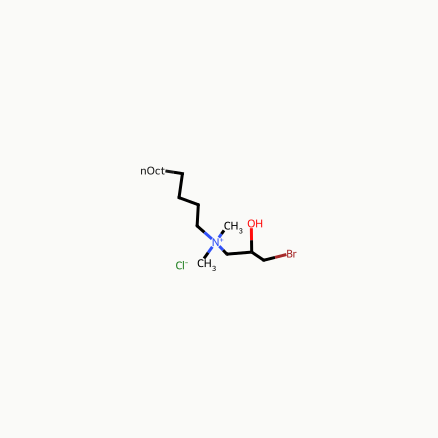 CCCCCCCCCCCC[N+](C)(C)CC(O)CBr.[Cl-]